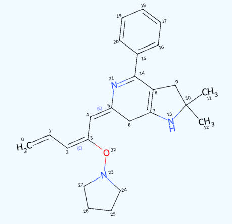 C=C/C=C(\C=C1/CC2=C(CC(C)(C)N2)C(c2ccccc2)=N1)ON1CCCC1